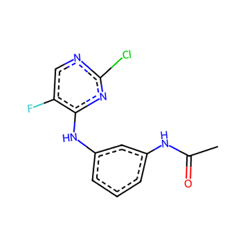 CC(=O)Nc1cccc(Nc2nc(Cl)ncc2F)c1